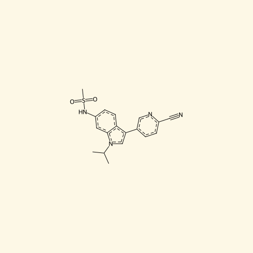 CC(C)n1cc(-c2ccc(C#N)nc2)c2ccc(NS(C)(=O)=O)cc21